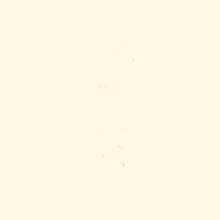 CCNc1ncc2cc(-c3cc(NC(=O)c4ccnc(C(F)(F)F)c4)ccc3C)c(C)nc2n1